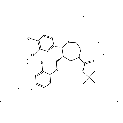 CC(C)(C)OC(=O)N1CCO[C@@H](c2ccc(Cl)c(Cl)c2)[C@H](CSc2ccccc2Br)C1